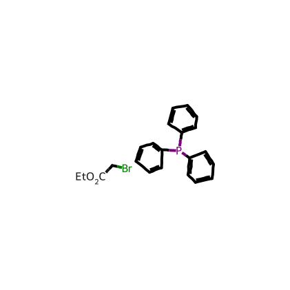 CCOC(=O)CBr.c1ccc(P(c2ccccc2)c2ccccc2)cc1